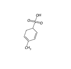 CC1=CCC(S(=O)(=O)O)C=C1